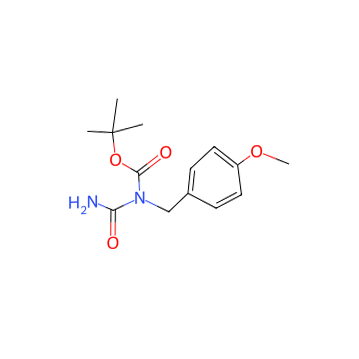 COc1ccc(CN(C(N)=O)C(=O)OC(C)(C)C)cc1